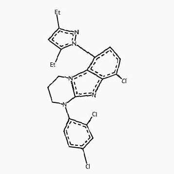 CCc1cc(CC)n(-c2ccc(Cl)c3nc4n(c23)CCCN4c2ccc(Cl)cc2Cl)n1